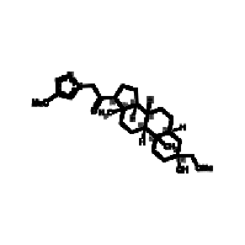 COC[C@@]1(O)CC[C@@]2(C)[C@@H](CC[C@@H]3[C@@H]2CC[C@]2(C)[C@@H](C(=O)Cn4cc(OC)cn4)CC[C@@H]32)C1